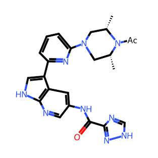 CC(=O)N1[C@H](C)CN(c2cccc(-c3c[nH]c4ncc(NC(=O)c5nc[nH]n5)cc34)n2)C[C@@H]1C